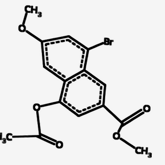 COC(=O)c1cc(OC(C)=O)c2cc(OC)cc(Br)c2c1